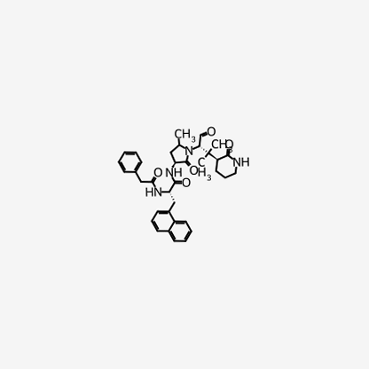 CC1C[C@H](NC(=O)[C@H](Cc2cccc3ccccc23)NC(=O)Cc2ccccc2)C(=O)N1[C@H](C=O)C(C)(C)[C@@H]1CCCNC1=O